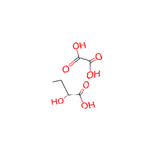 CCC(O)C(=O)O.O=C(O)C(=O)O